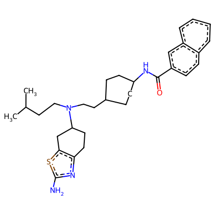 CC(C)CCN(CCC1CCC(NC(=O)c2ccc3ccccc3c2)CC1)C1CCc2nc(N)sc2C1